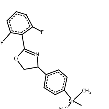 [CH3][Sn]([CH3])([CH3])[c]1ccc(C2COC(c3c(F)cccc3F)=N2)cc1